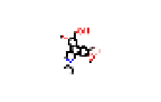 CCC(C)N1CCc2c(c3cc(OC)c(CO)cc3c3cc(CO)c(OC)cc23)C1